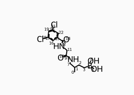 CC(CCB(O)O)CNC(=O)CNC(=O)c1cc(Cl)cc(Cl)c1